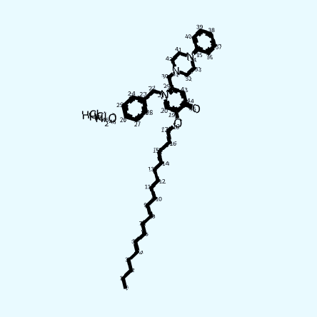 CCCCCCCCCCCCCCCCCCOc1cn(Cc2ccccc2)c(CN2CCN(c3ccccc3)CC2)cc1=O.Cl.Cl.O